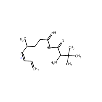 C=C/C=N\C(C)CCC(=N)NC(=O)C(N)C(C)(C)C